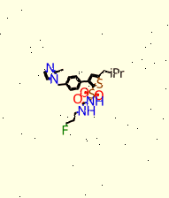 Cc1nccn1Cc1ccc(-c2cc(CC(C)C)sc2S(=O)(=O)NC(=O)NCCCF)cc1